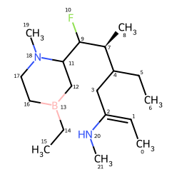 C/C=C(/CC(CC)[C@H](C)C(F)C1CB(CC)CCN1C)NC